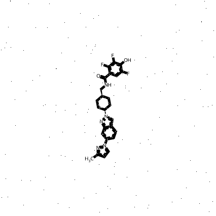 Cc1ccn(-c2ccc3cn([C@H]4CC[C@H](CNC(=O)c5cc(F)c(O)c(F)c5F)CC4)nc3c2)n1